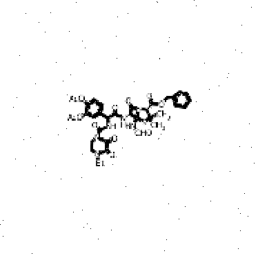 CCN1CCN(C(=O)NC(C(=O)N[C@@H]2C(=O)N3[C@@H](C(=O)OCc4ccccc4)C(C)(C)SC23NC=O)c2ccc(OC(C)=O)c(OC(C)=O)c2)C(=O)C1=O